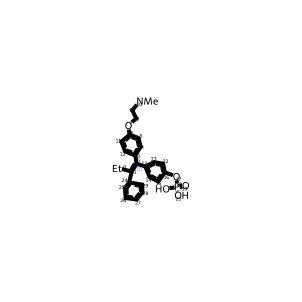 CC/C(=C(\c1ccc(OCCNC)cc1)c1ccc(OP(=O)(O)O)cc1)c1ccccc1